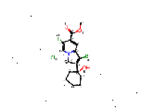 COC(=O)c1cc2c(Br)c(C3(O)CCCCC3)[se][n+]2cc1F.[Cl-]